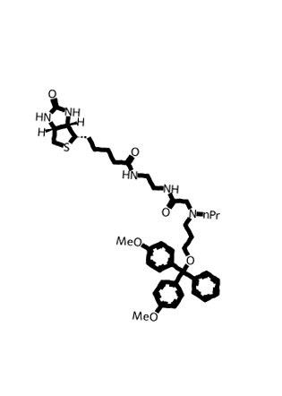 [CH2]CCN(CCCOC(c1ccccc1)(c1ccc(OC)cc1)c1ccc(OC)cc1)CC(=O)NCCNC(=O)CCCC[C@@H]1SC[C@@H]2NC(=O)N[C@@H]21